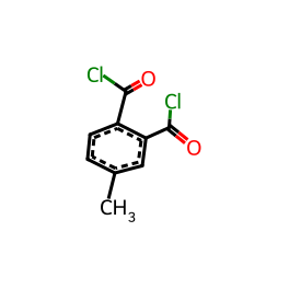 Cc1ccc(C(=O)Cl)c(C(=O)Cl)c1